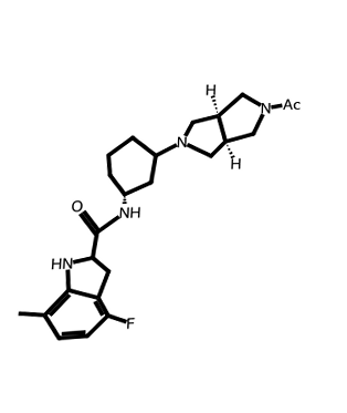 CC(=O)N1C[C@@H]2CN(C3CCC[C@@H](NC(=O)C4Cc5c(F)ccc(C)c5N4)C3)C[C@@H]2C1